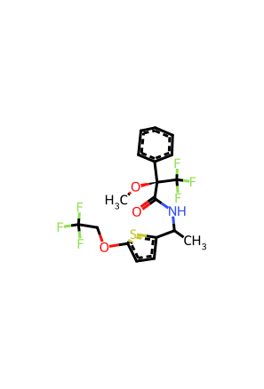 CO[C@@](C(=O)NC(C)c1ccc(OCC(F)(F)F)s1)(c1ccccc1)C(F)(F)F